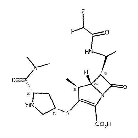 CC(NC(=O)C(F)F)[C@H]1C(=O)N2C(C(=O)O)=C(S[C@@H]3CN[C@H](C(=O)N(C)C)C3)[C@@H](C)[C@H]12